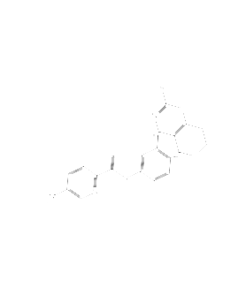 C[C@]1(c2cc(NC(=O)c3ccc(N)cn3)ccc2F)N=C(N)SC2=C1COCC2